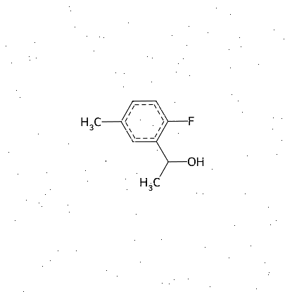 Cc1ccc(F)c(C(C)O)c1